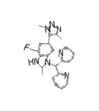 Cc1nnn(C)c1-c1cc(F)c2c(c1)N(C(c1ccccn1)c1ccccn1)C(C)N2